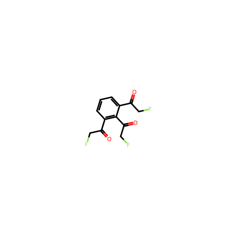 O=C(CF)c1cccc(C(=O)CF)c1C(=O)CF